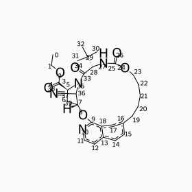 CCOC(=O)[C@@H]1C[C@H]2Oc3nccc4ccc(cc34)CCCCCOC(=O)N[C@@H](C(C)(C)C)C(=O)N1C2C#N